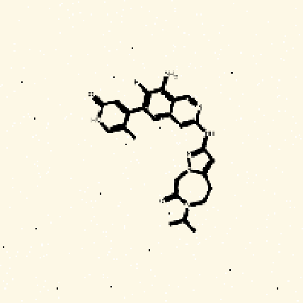 Cc1c[nH]c(=O)cc1-c1cc2cc(Nc3cc4n(n3)CC(=O)N(C(C)C)CC4)ncc2c(N)c1F